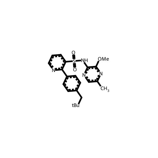 COc1nc(C)cnc1NS(=O)(=O)c1cccnc1-c1ccc(CC(C)(C)C)cc1